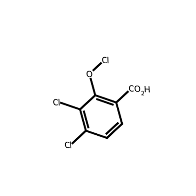 O=C(O)c1ccc(Cl)c(Cl)c1OCl